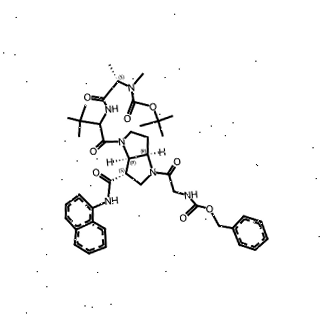 C[C@@H](C(=O)NC(C(=O)N1CC[C@@H]2[C@H]1[C@@H](C(=O)Nc1cccc3ccccc13)CN2C(=O)CNC(=O)OCc1ccccc1)C(C)(C)C)N(C)C(=O)OC(C)(C)C